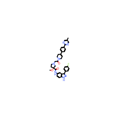 CO[C@@]1(C(=O)Nc2ccc3[nH]nc(-c4ccc(F)cc4)c3c2)CCN(CC(=O)N2CC=C(c3ccc(-c4ncc(C)cn4)cc3)CC2)C1